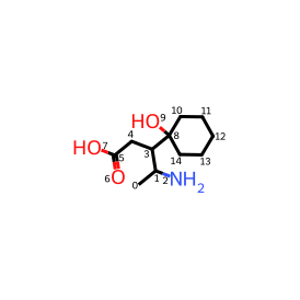 CC(N)C(CC(=O)O)C1(O)CCCCC1